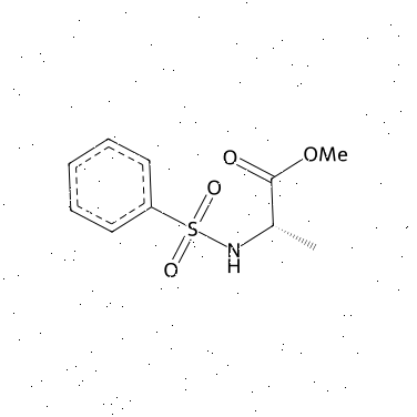 COC(=O)[C@H](C)NS(=O)(=O)c1ccccc1